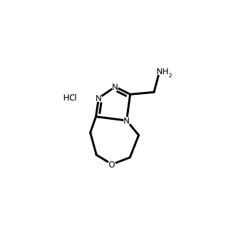 Cl.NCc1nnc2n1CCOCC2